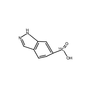 O=[14C](O)c1ccc2cn[nH]c2c1